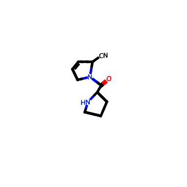 N#CC1C=CCN1C(=O)C1CCCN1